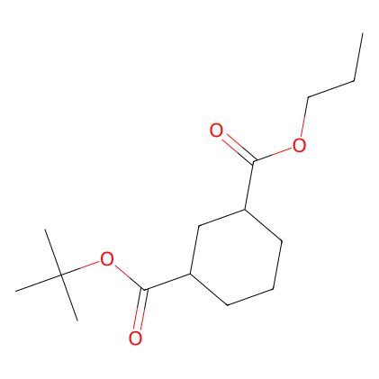 CCCOC(=O)C1CCCC(C(=O)OC(C)(C)C)C1